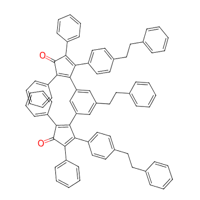 O=C1C(c2ccccc2)=C(c2ccc(CCc3ccccc3)cc2)C(c2cc(CCc3ccccc3)cc(C3=C(c4ccccc4)C(=O)C(c4ccccc4)=C3c3ccc(CCc4ccccc4)cc3)c2)=C1c1ccccc1